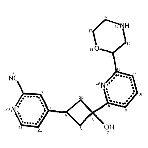 N#Cc1cc(C2CC(O)(c3cccc(C4CNCCO4)n3)C2)ccn1